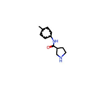 Cc1ccc(NC(=O)C2CCNC2)cc1